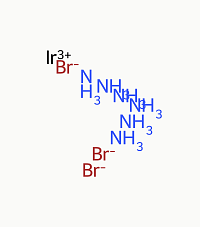 N.N.N.N.N.N.[Br-].[Br-].[Br-].[Ir+3]